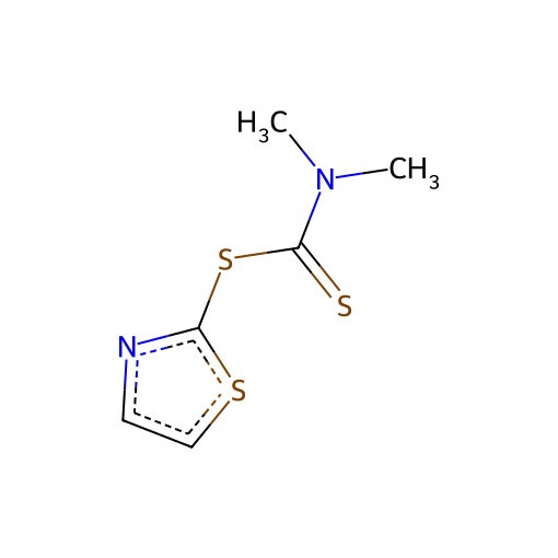 CN(C)C(=S)Sc1nccs1